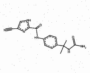 CC(C)(NC(N)=O)c1ccc(NC(=O)c2nc(C#N)c[nH]2)cc1